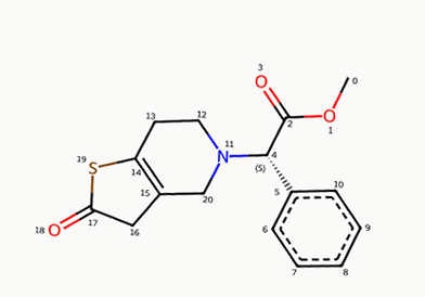 COC(=O)[C@H](c1ccccc1)N1CCC2=C(CC(=O)S2)C1